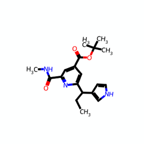 CCC(c1cc[nH]c1)c1cc(C(=O)OC(C)(C)C)cc(C(=O)NC)n1